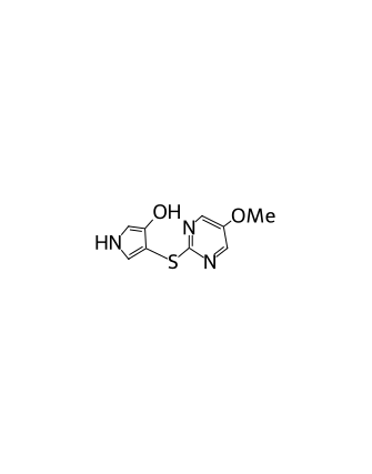 COc1cnc(Sc2c[nH]cc2O)nc1